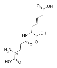 N[C@H](CCC(=O)NC(CC=CCC(=O)O)C(=O)O)C(=O)O